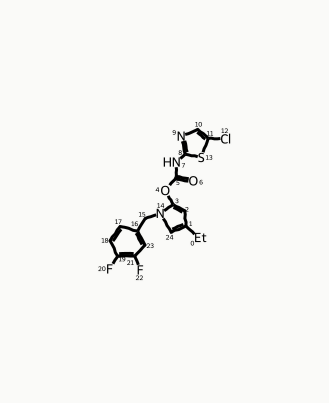 CCc1cc(OC(=O)Nc2ncc(Cl)s2)n(Cc2ccc(F)c(F)c2)c1